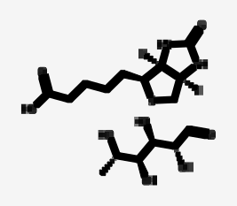 C[C@H](O)[C@H](O)[C@@H](O)[C@@H](O)C=O.O=C(O)CCCC[C@@H]1SC[C@@H]2NC(=O)N[C@@H]21